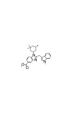 COC(=O)c1ccc2c(c1)nc(Cc1cn(C)c3ccccc13)n2[C@@H]1C[C@H](C)CC(C)(C)C1